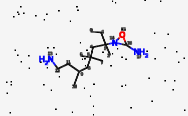 CCC(C)(CC(C)(C)CC(C)CCN)N1OC1N